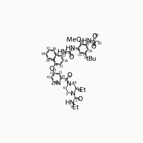 CCNC(=O)N1CCN(C(=O)c2cc(Oc3ccc(NC(=O)Nc4cc(C(C)(C)C)cc(NS(C)(=O)=O)c4OC)c4ccccc34)ccn2)CC1CC